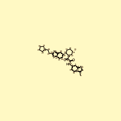 Cc1cnc2cc(NC(=O)C(=O)N3C[C@@H](C)CC[C@@H]3c3ccc4sc(CCN5CCCC5)nc4c3)ccn12